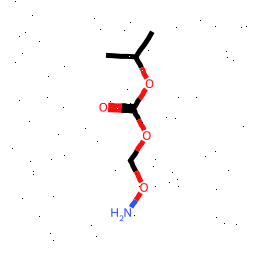 CC(C)OC(=O)OCON